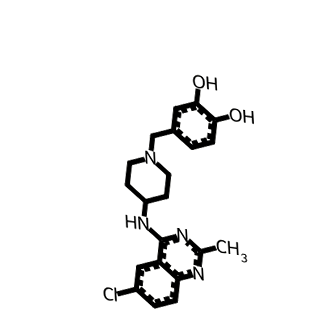 Cc1nc(NC2CCN(Cc3ccc(O)c(O)c3)CC2)c2cc(Cl)ccc2n1